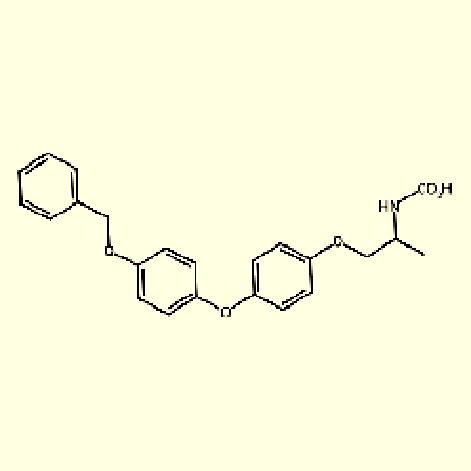 CC(COc1ccc(Oc2ccc(OCc3ccccc3)cc2)cc1)NC(=O)O